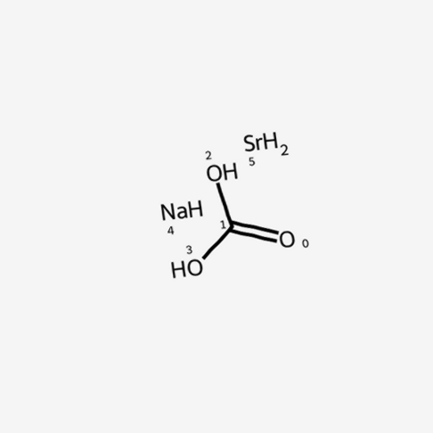 O=C(O)O.[NaH].[SrH2]